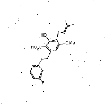 COc1cc(CSc2cccc(F)c2)c(C(=O)O)c(O)c1CC=C(C)C